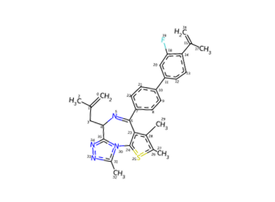 C=C(C)CC1N=C(c2ccc(-c3ccc(C(=C)C)c(F)c3)cc2)c2c(sc(C)c2C)-n2c(C)nnc21